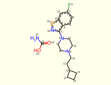 Fc1ccc2c(N3CCN(CCC4CCC4)CC3)nsc2c1.NC(=O)O